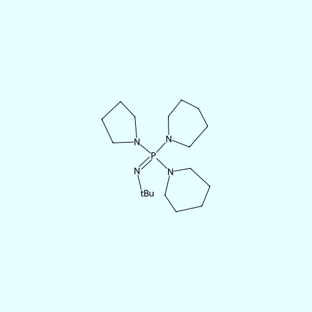 CC(C)(C)N=P(N1CCCCC1)(N1CCCCC1)N1CCCC1